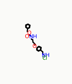 O=C(NCCCCOc1ccc(CCNCl)cc1)OCc1ccccc1